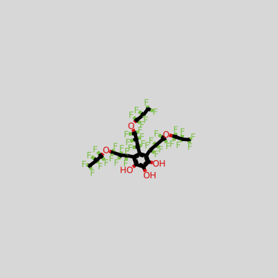 Oc1c(O)c(C(F)(F)C(F)(F)C(F)(F)OC(F)(F)C(F)(F)C(F)F)c(C(F)(F)C(F)(F)C(F)(F)OC(F)(F)C(F)(F)C(F)F)c(C(F)(F)C(F)(F)C(F)(F)OC(F)(F)C(F)(F)C(F)F)c1O